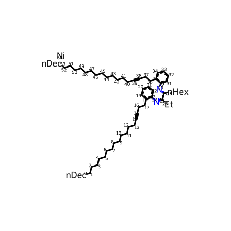 CCCCCCCCCCCCCCCCCCCCCCCC#CCCc1ccccc1N=C(CC)C(CCCCCC)=Nc1ccccc1CCC#CCCCCCCCCCCCCCCCCCCCCCCC.[Ni]